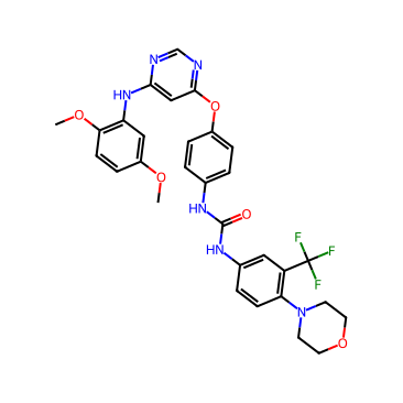 COc1ccc(OC)c(Nc2cc(Oc3ccc(NC(=O)Nc4ccc(N5CCOCC5)c(C(F)(F)F)c4)cc3)ncn2)c1